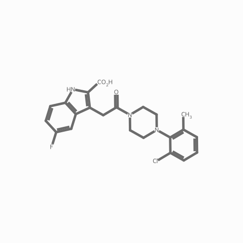 Cc1cccc(Cl)c1N1CCN(C(=O)Cc2c(C(=O)O)[nH]c3ccc(F)cc23)CC1